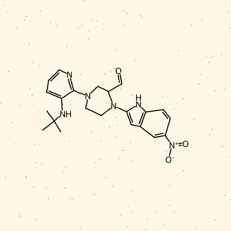 CC(C)(C)Nc1cccnc1N1CCN(c2cc3cc([N+](=O)[O-])ccc3[nH]2)C(C=O)C1